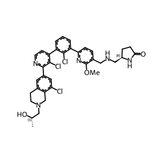 COc1nc(-c2cccc(-c3ccnc(-c4cc(Cl)c5c(c4)CCN(C[C@H](C)O)C5)c3Cl)c2Cl)ccc1CNC[C@H]1CCC(=O)N1